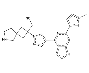 Cn1ccc(-c2cn3nccc3c(-c3cnn(C4(CC#N)CC5(CCNC5)C4)c3)n2)n1